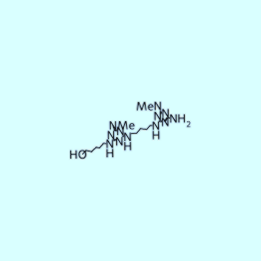 CNc1nc(N)nc(NCCCCCNc2nc(NC)nc(NCCCCCO)n2)n1